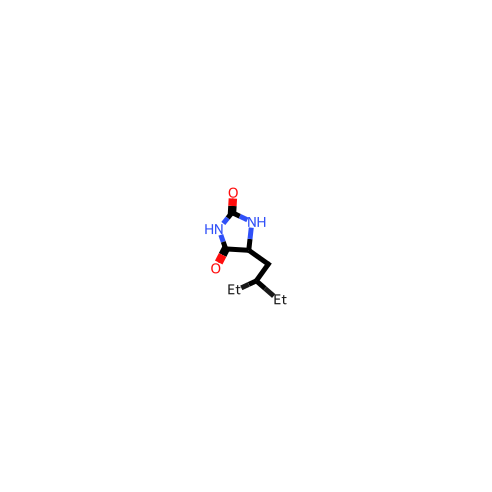 CCC(CC)CC1NC(=O)NC1=O